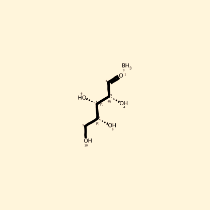 B.O=C[C@H](O)[C@@H](O)[C@H](O)CO